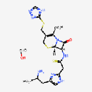 NC(Cc1c[nH]c(CC(=S)N[C@@H]2C(=O)N3C(C(=O)O)=C(CSc4nnc[nH]4)CS[C@@H]23)n1)C(=O)O.O=CO